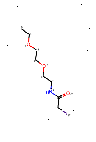 CCOCCOCCNC(=O)CI